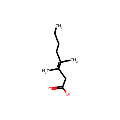 CCCC/C(C)=C(\C)CC(=O)O